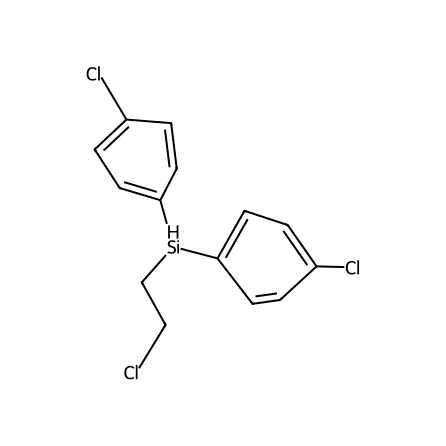 ClCC[SiH](c1ccc(Cl)cc1)c1ccc(Cl)cc1